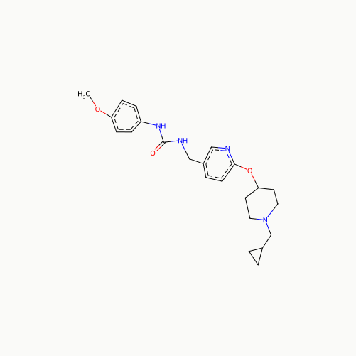 COc1ccc(NC(=O)NCc2ccc(OC3CCN(CC4CC4)CC3)nc2)cc1